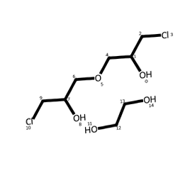 OC(CCl)COCC(O)CCl.OCCO